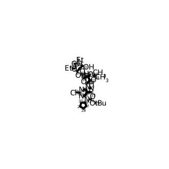 CCOP(=O)(OCC)C(CO)(CO)OC[C@H]1O[C@@H](n2ncc3c(N(C(=O)OC(C)(C)C)C4CCCC4)nc(Cl)nc32)[C@@H]2OC(C)(C)O[C@@H]21